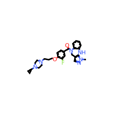 Cn1ncc2c1Nc1ccccc1N(C(=O)c1ccc(OCCCN3CCN(C4CC4)CC3)c(F)c1)C2